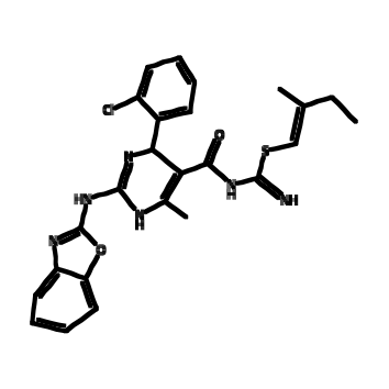 CC/C(C)=C/SC(=N)NC(=O)C1=C(C)NC(Nc2nc3ccccc3o2)=NC1c1ccccc1Cl